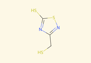 SCc1nsc(S)n1